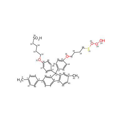 Cc1ccc(-c2ccc3c(c2)C(c2ccc(OCCCCSOOO)cc2)(c2ccc(OCCCCS(=O)(=O)O)cc2)c2cc(C)ccc2-3)cc1